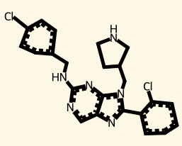 Clc1ccc(CNc2ncc3nc(-c4ccccc4Cl)n(CC4CCNC4)c3n2)cc1